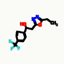 CCc1nnc(CC(O)c2ccc(C(F)(F)F)cc2)o1